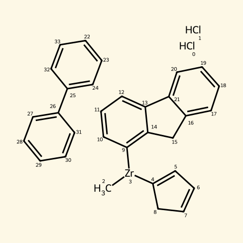 Cl.Cl.[CH3][Zr]([C]1=CC=CC1)[c]1cccc2c1Cc1ccccc1-2.c1ccc(-c2ccccc2)cc1